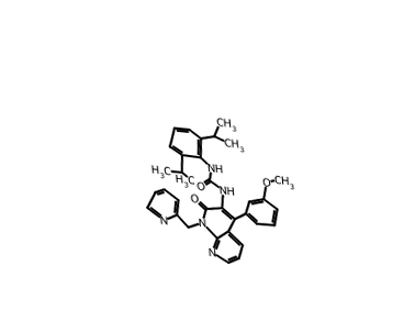 COc1cccc(-c2c(NC(=O)Nc3c(C(C)C)cccc3C(C)C)c(=O)n(Cc3ccccn3)c3ncccc23)c1